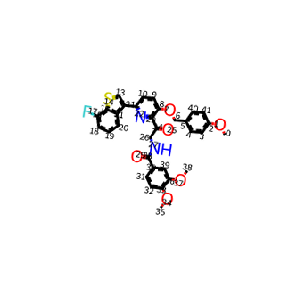 COc1ccc(COc2ccc(-c3csc4c(F)cccc34)nc2C(=O)CNC(=O)c2ccc(OC)c(OC)c2)cc1